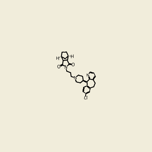 O=C1C2C(C(=O)N1CCCN1CCC(=C3c4ccc(Cl)cc4CCc4cccnc43)CC1)[C@H]1CC[C@@H]2C1